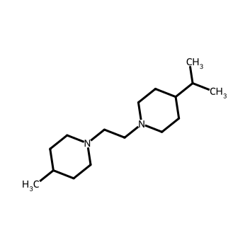 CC1CCN(CCN2CCC(C(C)C)CC2)CC1